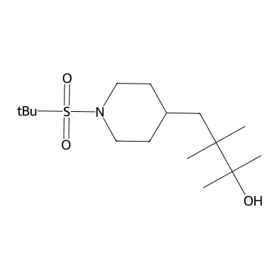 CC(C)(O)C(C)(C)CC1CCN(S(=O)(=O)C(C)(C)C)CC1